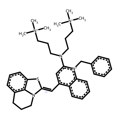 C[N+](C)(C)CCCN(CCC[N+](C)(C)C)c1cc(/C=C2\Sc3cccc4c3N2CCC4)c2ccccc2[n+]1Cc1ccccc1